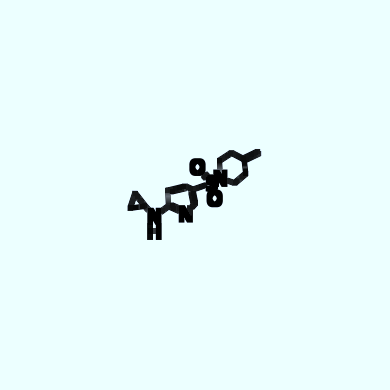 C=C1CCN(S(=O)(=O)c2ccc(NC3CC3)nc2)CC1